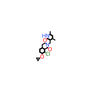 Cc1cc(C)c(CN2CCc3ccc(OC4CC4)c(Cl)c3C2=O)c(=O)[nH]1